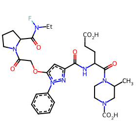 CCN(F)C(=O)C1CCCN1C(=O)COc1cc(C(=O)NC(CCC(=O)O)C(=O)N2CCN(C(=O)O)CC2C)nn1-c1ccccc1